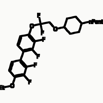 CCCCCC1CCC(OCC(F)(F)Oc2ccc(-c3ccc(OCC)c(F)c3F)c(F)c2F)CC1